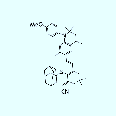 COc1ccc(N2c3cc(C)c(/C=C/C4=C(SC56CC7CC(CC(C7)C5)C6)C(=C/C#N)/CC(C)(C)C4)cc3C(C)CC2(C)C)cc1